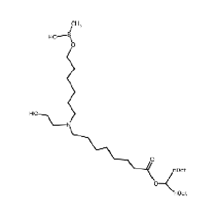 CCCCCCCCC(CCCCCCCC)OC(=O)CCCCCCCN(CCO)CCCCCCOB(C)O